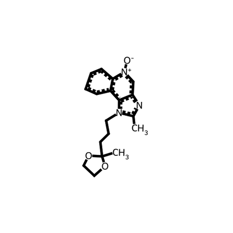 Cc1nc2c[n+]([O-])c3ccccc3c2n1CCCC1(C)OCCO1